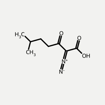 CC(C)CCC(=O)C(=[N+]=[N-])C(=O)O